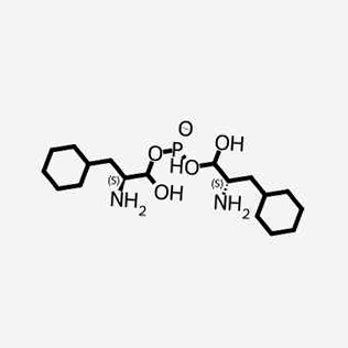 N[C@@H](CC1CCCCC1)C(O)O[PH](=O)OC(O)[C@@H](N)CC1CCCCC1